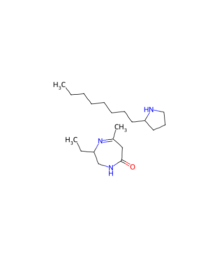 CCC1CNC(=O)CC(C)=N1.CCCCCCCCC1CCCN1